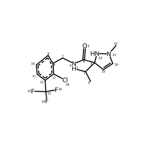 CC(C)C1(C(=O)NCc2cccc(C(F)(F)F)c2Cl)C=CN(C)N1